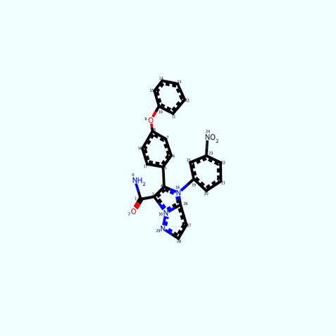 NC(=O)c1c(-c2ccc(Oc3ccccc3)cc2)n(-c2cccc([N+](=O)[O-])c2)c2ccnn12